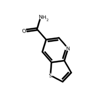 NC(=O)c1cnc2ccsc2c1